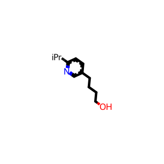 CC(C)c1ccc(CCCCO)cn1